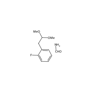 COC(Cc1ccccc1F)OC.NC=O